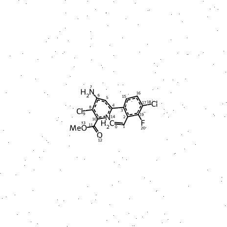 C=Cc1c(-c2cc(N)c(Cl)c(C(=O)OC)n2)ccc(Cl)c1F